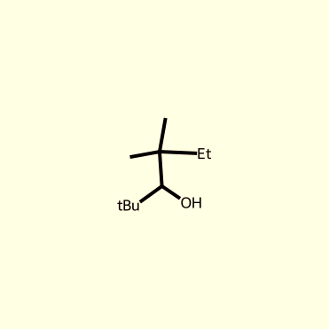 CCC(C)(C)C(O)C(C)(C)C